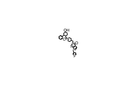 O=C(C1CCC(O)CC1c1ccccc1)N1CCC(Cn2cnc3c(ccn3Cc3ccsc3)c2=O)CC1